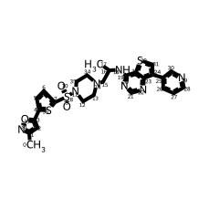 Cc1cc(-c2ccc(S(=O)(=O)N3CCN(CC(C)Nc4ncnc5c(-c6cccnc6)csc45)CC3)s2)on1